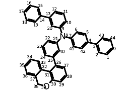 c1ccc(-c2ccc(N(c3cccc(-c4ccccc4)c3)c3cccc(-c4cccc5c4-c4ccccc4CO5)c3)cc2)cc1